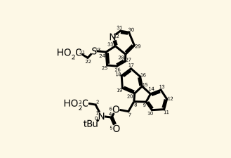 CC(C)(C)N(CC(=O)O)C(=O)OCC1c2ccccc2-c2ccccc21.O=C(O)CSc1cccc2cccnc12